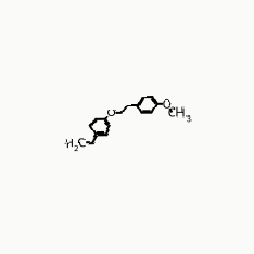 [CH2]Cc1ccc(OCCc2ccc(OC)cc2)cc1